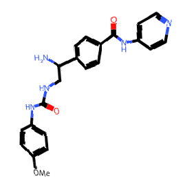 COc1ccc(NC(=O)NCC(N)c2ccc(C(=O)Nc3ccncc3)cc2)cc1